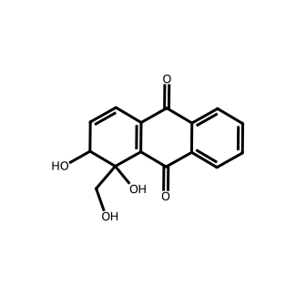 O=C1C2=C(C(=O)c3ccccc31)C(O)(CO)C(O)C=C2